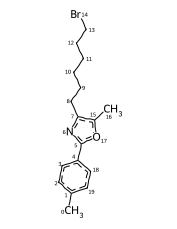 Cc1ccc(-c2nc(CCCCCCBr)c(C)o2)cc1